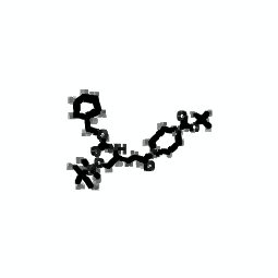 CC(C)(C)OC(=O)N1CCN(C(=O)CCC(CO[Si](C)(C)C(C)(C)C)NC(=O)OCc2ccccc2)CC1